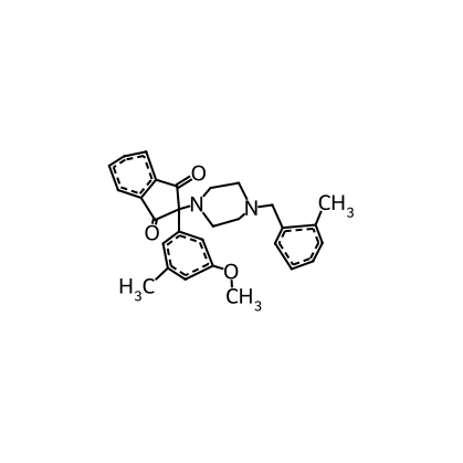 COc1cc(C)cc(C2(N3CCN(Cc4ccccc4C)CC3)C(=O)c3ccccc3C2=O)c1